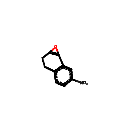 O=[N+]([O-])c1ccc2c(c1)C1=C(CC2)O1